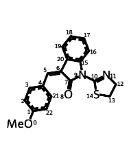 COc1ccc(/C=C2\C(=O)N(C3=NCCS3)c3ccccc32)cc1